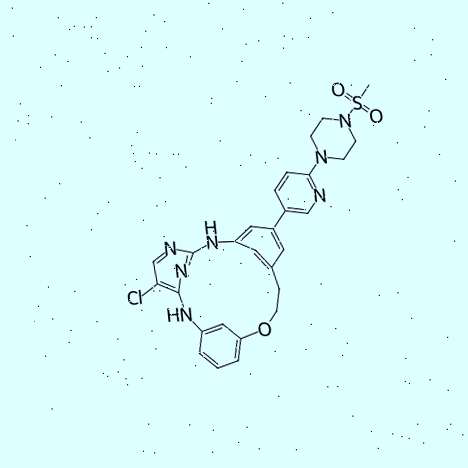 CS(=O)(=O)N1CCN(c2ccc(-c3cc4cc(c3)Nc3ncc(Cl)c(n3)Nc3cccc(c3)OCC4)cn2)CC1